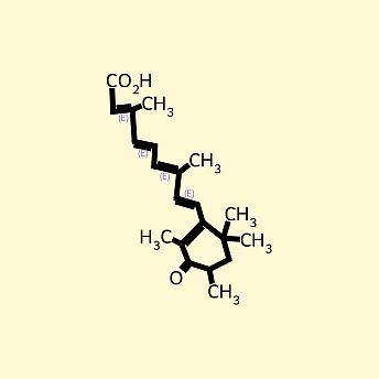 CC1=C(/C=C/C(C)=C/C=C/C(C)=C/C(=O)O)C(C)(C)CC(C)C1=O